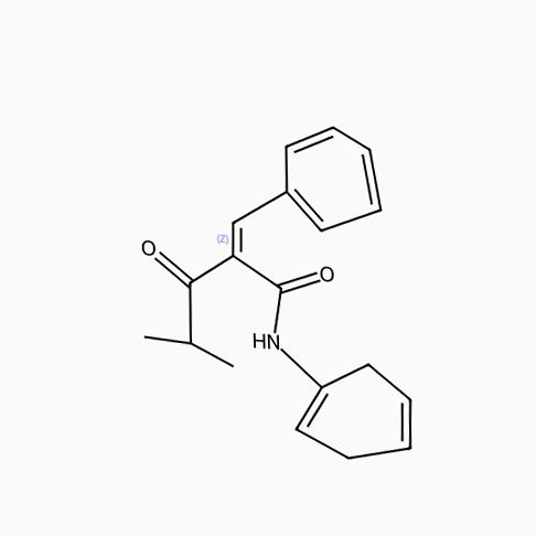 CC(C)C(=O)/C(=C/c1ccccc1)C(=O)NC1=CCC=CC1